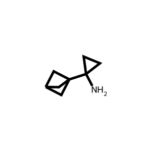 NC1(C23CC(C2)C3)CC1